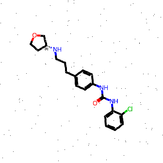 O=C(Nc1ccc(CCCN[C@@H]2CCOC2)cc1)Nc1ccccc1Cl